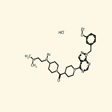 CCOc1cccc(Cn2ncc3c(N4CCC(C(=O)N5CCC(N(CCN(C)C)C(C)=O)CC5)CC4)ncnc32)c1.Cl